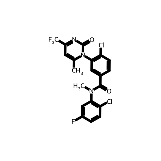 Cc1cc(C(F)(F)F)nc(=O)n1-c1cc(C(=O)N(C)c2cc(F)ccc2Cl)ccc1Cl